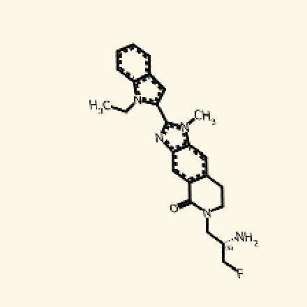 CCn1c(-c2nc3cc4c(cc3n2C)CCN(C[C@H](N)CF)C4=O)cc2ccccc21